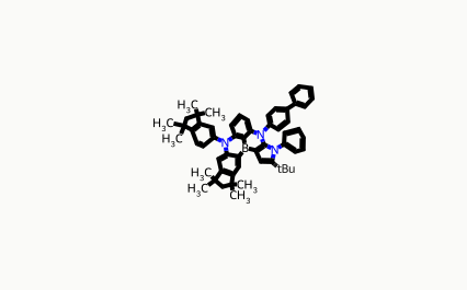 CC(C)(C)c1cc2c(n1-c1ccccc1)N(c1ccc(-c3ccccc3)cc1)c1cccc3c1B2c1cc2c(cc1N3c1ccc3c(c1)C(C)(C)CC3(C)C)C(C)(C)CC2(C)C